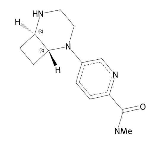 CNC(=O)c1ccc(N2CCN[C@@H]3CC[C@H]32)cn1